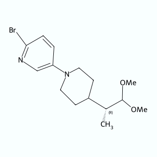 COC(OC)[C@H](C)C1CCN(c2ccc(Br)nc2)CC1